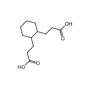 O=C(O)CCC1C[CH]CCC1CCC(=O)O